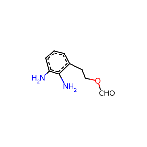 Nc1cccc(CCOC=O)c1N